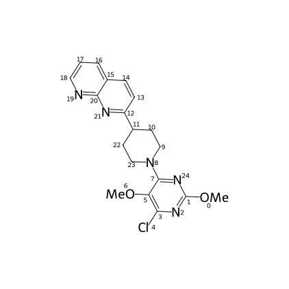 COc1nc(Cl)c(OC)c(N2CCC(c3ccc4cccnc4n3)CC2)n1